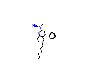 CCCCCCc1ccc2nc(N(C)C#N)cc(-c3ccccc3)c2c1